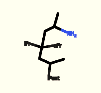 CCCC(C)C(C)CC(CCC)(CC(C)N)C(C)C